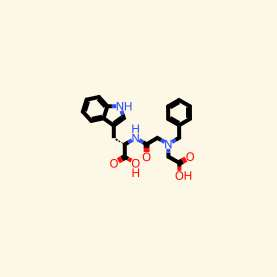 O=C(O)CN(CC(=O)N[C@@H](Cc1c[nH]c2ccccc12)C(=O)O)Cc1ccccc1